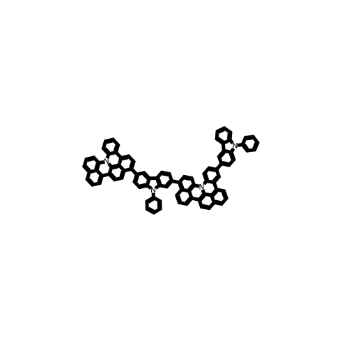 c1ccc(-n2c3ccccc3c3cc(-c4ccc5c(c4)-c4cccc6ccc7c(c46)N5c4ccc(-c5ccc6c8cc(-c9ccc%10c%11c%12c(ccc9%11)-c9cccc%11cccc(c9%11)N%12c9ccccc9-%10)ccc8n(-c8ccccc8)c6c5)c5cccc-7c45)ccc32)cc1